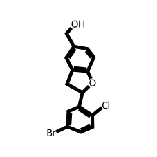 OCc1ccc2c(c1)CC(c1cc(Br)ccc1Cl)O2